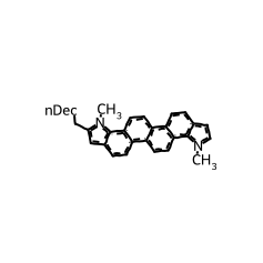 CCCCCCCCCCCc1cc2ccc3c4ccc5c(ccc6ccn(C)c65)c4ccc3c2n1C